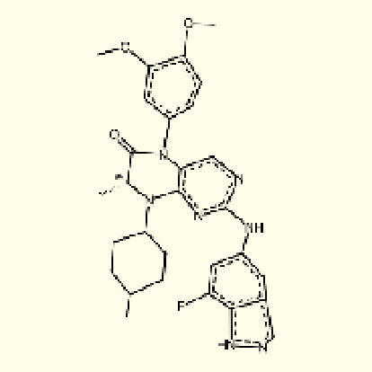 COc1ccc(N2C(=O)[C@@H](C)N(C3CCC(C)CC3)c3nc(Nc4cc(F)c5[nH]ncc5c4)ncc32)cc1OC